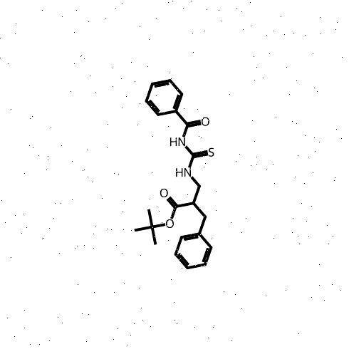 CC(C)(C)OC(=O)C(CNC(=S)NC(=O)c1ccccc1)Cc1ccccc1